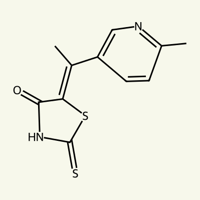 CC(=C1SC(=S)NC1=O)c1ccc(C)nc1